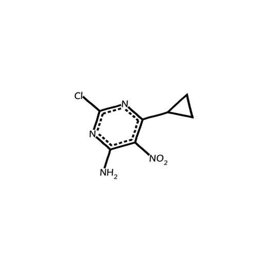 Nc1nc(Cl)nc(C2CC2)c1[N+](=O)[O-]